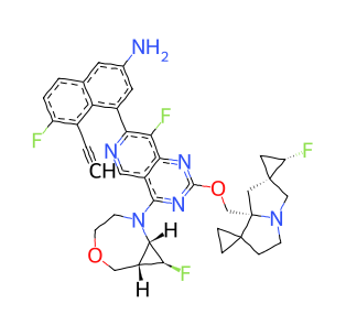 C#Cc1c(F)ccc2cc(N)cc(-c3ncc4c(N5CCOC[C@H]6[C@H](F)[C@H]65)nc(OC[C@]56C[C@@]7(C[C@@H]7F)CN5CCC65CC5)nc4c3F)c12